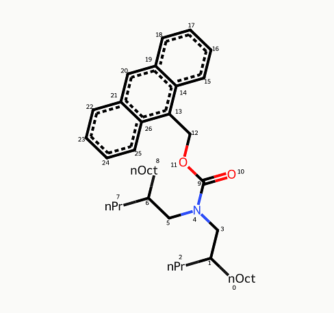 CCCCCCCCC(CCC)CN(CC(CCC)CCCCCCCC)C(=O)OCc1c2ccccc2cc2ccccc12